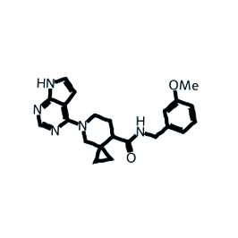 COc1cccc(CNC(=O)C2CCN(c3ncnc4[nH]ccc34)CC23CC3)c1